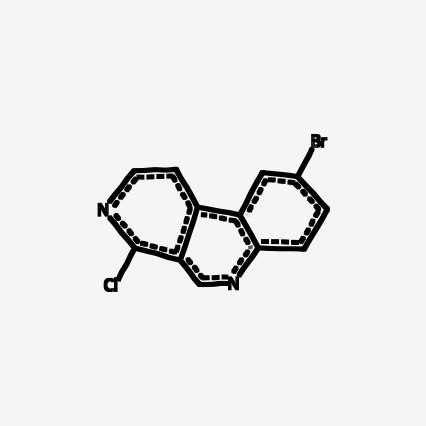 Clc1nccc2c1cnc1ccc(Br)cc12